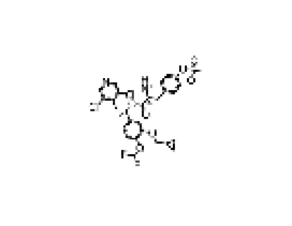 CS(=O)(=O)Oc1ccc(C[C@H](N)C(=O)O[C@@H](Cc2c(Cl)cncc2Cl)c2ccc(OC(F)F)c(OCC3CC3)c2)cc1